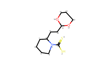 S=C(S)N1CCCCC1CCC1OCCCO1